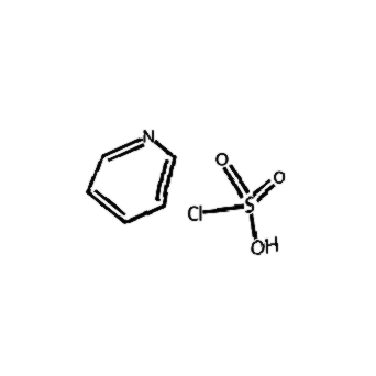 O=S(=O)(O)Cl.c1ccncc1